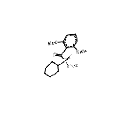 CCCCCCP(=O)(C(=O)c1c(OC)cccc1OC)C1CCCCC1